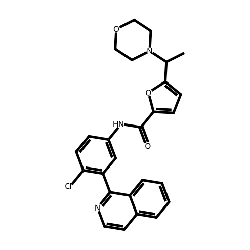 CC(c1ccc(C(=O)Nc2ccc(Cl)c(-c3nccc4ccccc34)c2)o1)N1CCOCC1